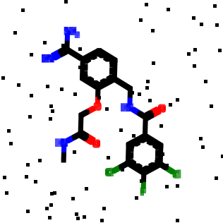 CNC(=O)COc1cc(C(=N)N)ccc1CNC(=O)c1cc(Cl)c(F)c(Cl)c1